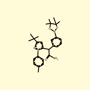 Cc1ccc(-n2nc(C(C)(C)C)cc2C(C(N)=O)c2cccc(B3OC(C)(C)C(C)(C)O3)c2)cc1